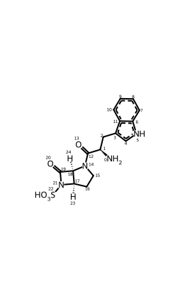 N[C@H](Cc1c[nH]c2ccccc12)C(=O)N1CC[C@@H]2[C@H]1C(=O)N2S(=O)(=O)O